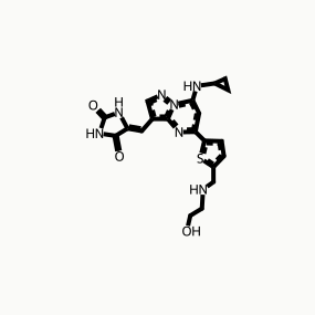 O=C1NC(=O)/C(=C/c2cnn3c(NC4CC4)cc(-c4ccc(CNCCO)s4)nc23)N1